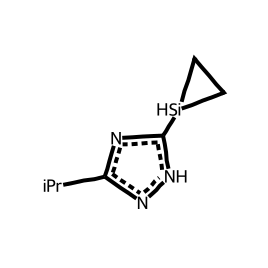 CC(C)c1n[nH]c([SiH]2CC2)n1